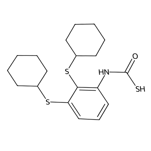 O=C(S)Nc1cccc(SC2CCCCC2)c1SC1CCCCC1